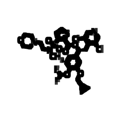 CN(CCN1CCOCC1)S(=O)(=O)c1ccsc1C(=O)O[C@@H](Cc1c(Cl)cncc1Cl)c1ccc(OC(F)F)c(OCC2CC2)c1